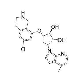 Cc1ccnc2c1ccn2C1CC(Oc2cc(Cl)cc3c2CNCC3)[C@@H](O)[C@H]1O